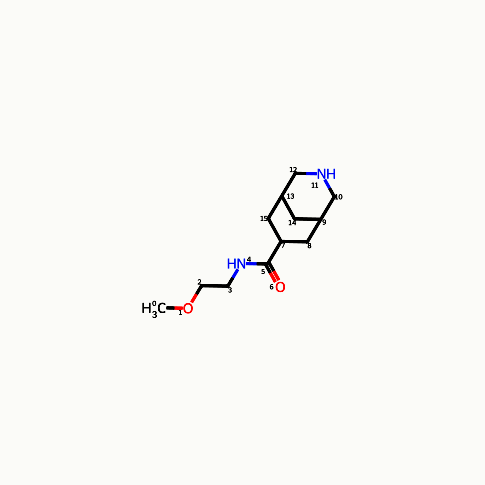 COCCNC(=O)C1CC2CNCC(C2)C1